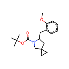 COc1ccccc1CC1CC2(CC2)CN1C(=O)OC(C)(C)C